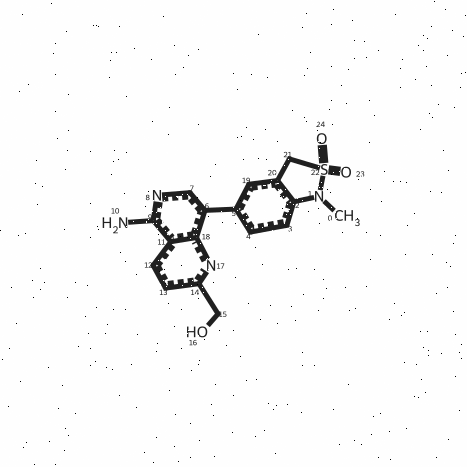 CN1c2ccc(-c3cnc(N)c4ccc(CO)nc34)cc2CS1(=O)=O